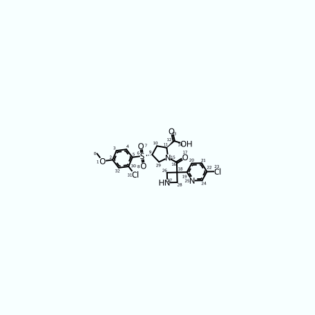 COc1ccc(S(=O)(=O)[C@@H]2C[C@@H](C(=O)O)N(C(=O)C3(c4ccc(Cl)cn4)CNC3)C2)c(Cl)c1